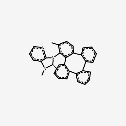 Cc1ccc2c(c1N1c3ncccc3N(C)[C@@H]1C)-c1ccccc1-c1ccccc1-c1ccccc1-2